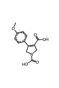 COc1ccc(C2=C(C(=O)O)CN(C(=O)O)C2)cc1